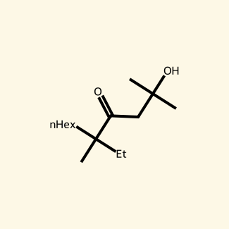 CCCCCCC(C)(CC)C(=O)CC(C)(C)O